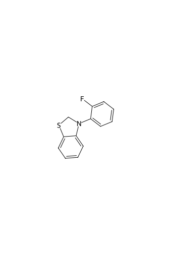 Fc1ccccc1N1CSc2ccccc21